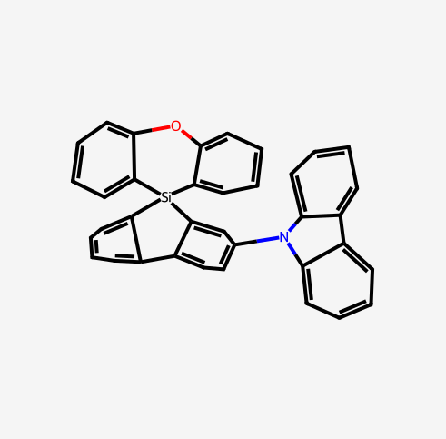 c1ccc2c(c1)Oc1ccccc1[Si]21c2ccccc2-c2ccc(-n3c4ccccc4c4ccccc43)cc21